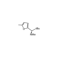 CN[C@@H](c1ccc(C)o1)C(C)(C)C